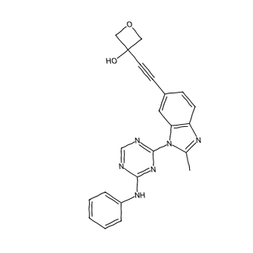 Cc1nc2ccc(C#CC3(O)COC3)cc2n1-c1ncnc(Nc2ccccc2)n1